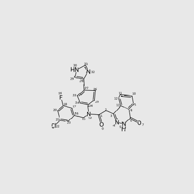 O=C(Cc1n[nH]c(=O)c2ccccc12)N(Cc1cc(F)cc(Cl)c1)c1ccc(-c2c[nH]cn2)cc1